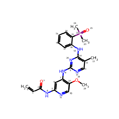 C=CC(=O)Nc1cc(Nc2ncc(C)c(Nc3ccccc3P(C)(C)=O)n2)c(OC)cn1